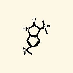 C[N+](C)(C)C1C(=O)Nc2cc([Si](C)(C)C)ccc21